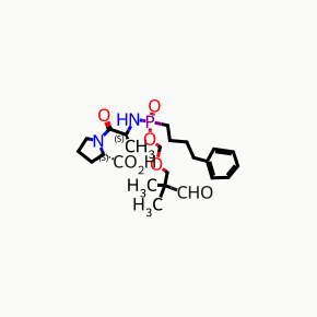 C[C@H](NP(=O)(CCCCc1ccccc1)OCOCC(C)(C)C=O)C(=O)N1CCC[C@H]1C(=O)O